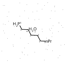 CCCCCCCCP.O